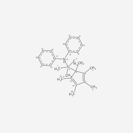 CC1=C(C)[C](C)([Ti]([CH3])([CH3])([CH3])[SiH](c2ccccc2)c2ccccc2)C(C)=C1C